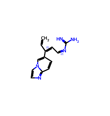 C=C/C(=C/C=N\C(=N)N)c1ccc2nccn2c1